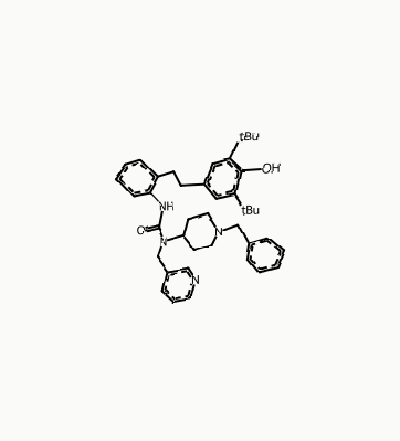 CC(C)(C)c1cc(CCc2ccccc2NC(=O)N(Cc2cccnc2)C2CCN(Cc3ccccc3)CC2)cc(C(C)(C)C)c1O